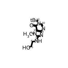 Cn1c(NCCO)nc2ncn(C(C)(C)C)c(=O)c21